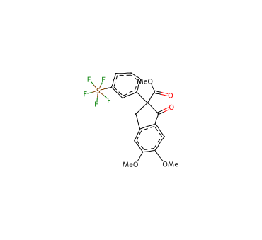 COC(=O)C1(c2cccc(S(F)(F)(F)(F)F)c2)Cc2cc(OC)c(OC)cc2C1=O